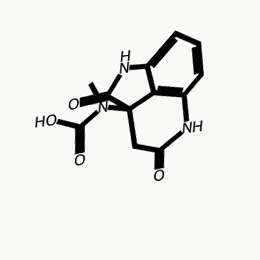 CN(C(=O)O)C12CC(=O)Nc3cccc(c31)NC2=O